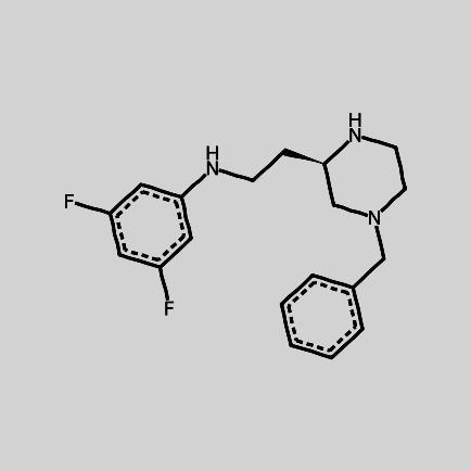 Fc1cc(F)cc(NCC[C@@H]2CN(Cc3ccccc3)CCN2)c1